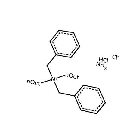 CCCCCCCC[N+](CCCCCCCC)(Cc1ccccc1)Cc1ccccc1.Cl.N.[Cl-]